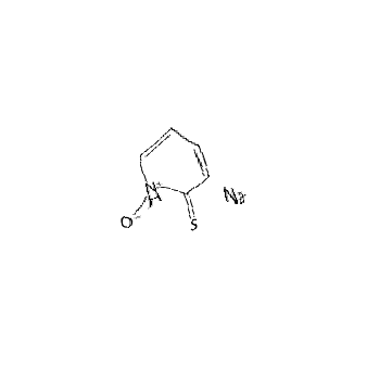 [Na].[O-][NH+]1C=CC=CC1=S